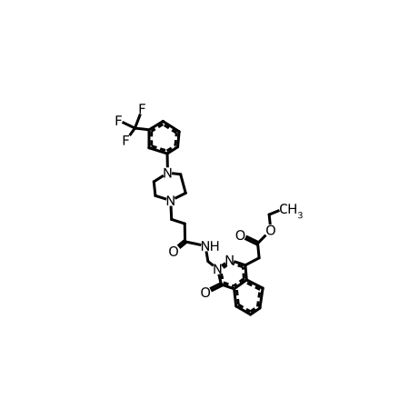 CCOC(=O)Cc1nn(CNC(=O)CCN2CCN(c3cccc(C(F)(F)F)c3)CC2)c(=O)c2ccccc12